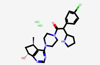 C[C@@H]1C[C@@H](O)c2ncnc(N3CCN(C(=O)C(c4ccc(Cl)cc4)C4CCCN4)CC3)c21.Cl.Cl